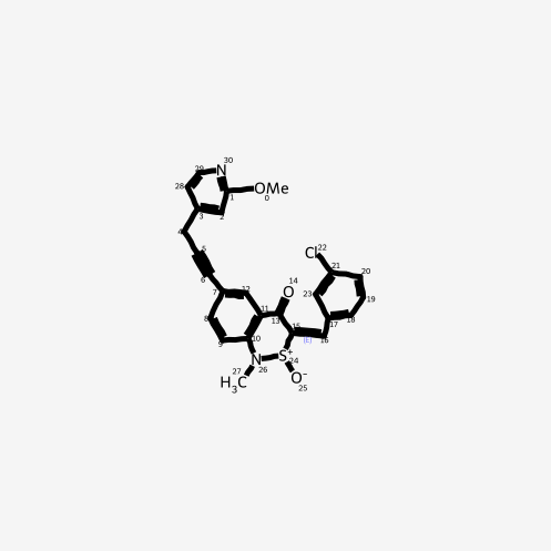 COc1cc(CC#Cc2ccc3c(c2)C(=O)/C(=C\c2cccc(Cl)c2)[S+]([O-])N3C)ccn1